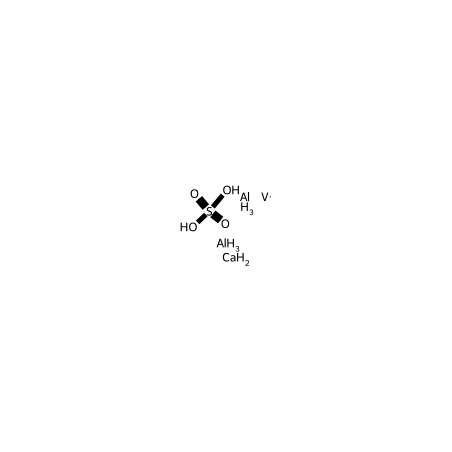 O=S(=O)(O)O.[AlH3].[AlH3].[CaH2].[V]